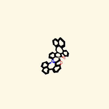 c1cc2c3c(c1)-n1c4cccc5cccc(c6cccc7oc(c1c76)B3c1oc3cccc6c3c1C2Cc1cccc2cccc-6c12)c54